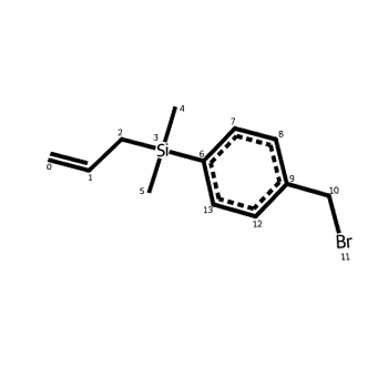 C=CC[Si](C)(C)c1ccc(CBr)cc1